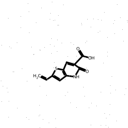 C=Cc1cc2[nH]c(=O)c(C(=O)O)cc2s1